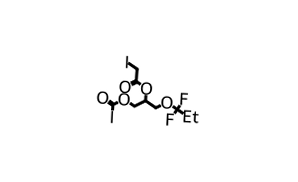 CCC(F)(F)OCC(COC(=O)I)OC(=O)CI